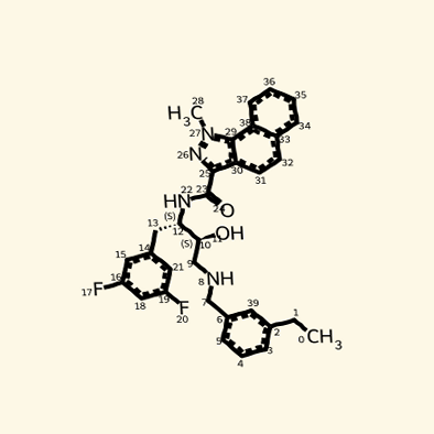 CCc1cccc(CNC[C@H](O)[C@H](Cc2cc(F)cc(F)c2)NC(=O)c2nn(C)c3c2ccc2ccccc23)c1